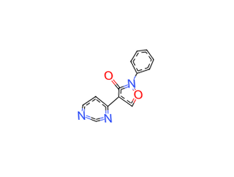 O=c1c(-c2ccncn2)con1-c1ccccc1